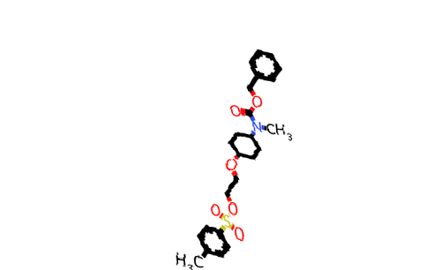 Cc1ccc(S(=O)(=O)OCCOC2CCC(N(C)C(=O)OCc3ccccc3)CC2)cc1